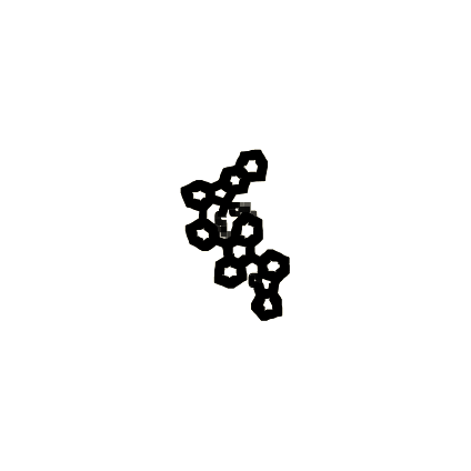 CC1(C)c2cc3ccccc3cc2-c2cccc(-c3cccc(-c4c5ccccc5c(-c5cccc6c5oc5ccccc56)c5ccccc45)c3)c21